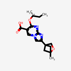 CC[C@@H](C)Oc1nc2nc(C34COC(C)(C3)C4)cn2cc1C(=O)O